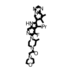 Cc1c(-c2[nH]c3cnc(N4CCN(C(=O)CN5CCOCC5)CC4C)c(F)c3c2C(C)C)cn2ncnc2c1C